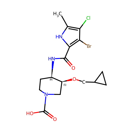 Cc1[nH]c(C(=O)N[C@@H]2CCN(C(=O)O)C[C@@H]2OCC2CC2)c(Br)c1Cl